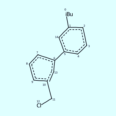 CCC(C)c1cccc(-c2cccc(CCl)c2)c1